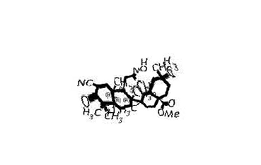 COC(=O)[C@]12CCC(C)(C)CC1C[C@](C)([C@]1(C)CC[C@H]3C(C)(C)C(=O)C(C#N)=C[C@]3(C)[C@H]1CC(C)=NO)CC2